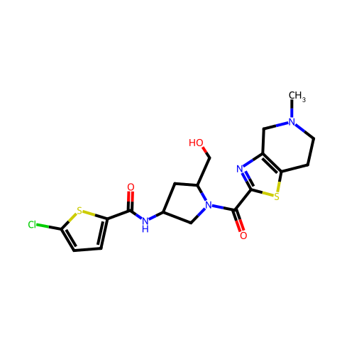 CN1CCc2sc(C(=O)N3CC(NC(=O)c4ccc(Cl)s4)CC3CO)nc2C1